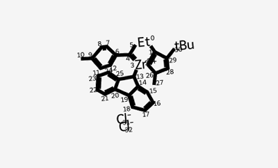 CCC1=[C](/[Zr+2](=[C](\C)c2ccc(C)cc2)[CH]2c3ccccc3-c3ccccc32)C(C)C=C1C(C)(C)C.[Cl-].[Cl-]